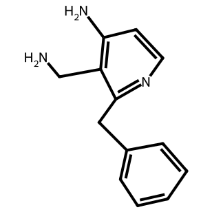 NCc1c(N)ccnc1Cc1ccccc1